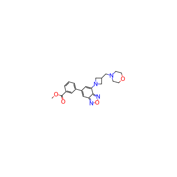 COC(=O)c1cccc(-c2cc(N3CC(CN4CCOCC4)C3)c3nonc3c2)c1